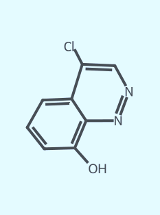 Oc1cccc2c(Cl)cnnc12